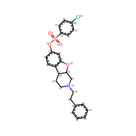 O=S(=O)(Oc1ccc2c(c1)OC1CN(CCc3ccccc3)CCC21)c1ccc(Cl)cc1